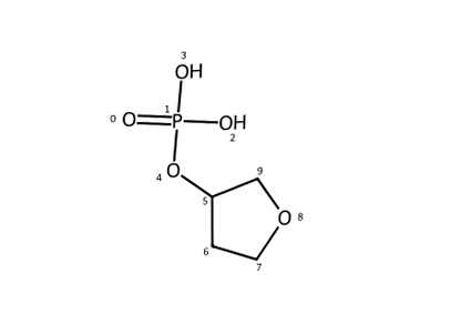 O=P(O)(O)OC1CCOC1